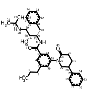 CCCc1cc(C(=O)N[C@@H](Cc2ccccc2)[C@H](O)CNC(C)C)cc(N2CC(c3ccccc3)CCC2=O)c1